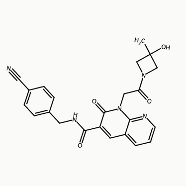 CC1(O)CN(C(=O)Cn2c(=O)c(C(=O)NCc3ccc(C#N)cc3)cc3cccnc32)C1